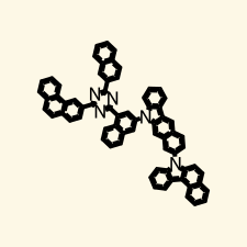 c1ccc2cc(-c3nc(-c4ccc5ccc6ccccc6c5c4)nc(-c4cc(-n5c6ccccc6c6cc7ccc(-n8c9ccccc9c9c%10ccccc%10ccc98)cc7cc65)cc5ccccc45)n3)ccc2c1